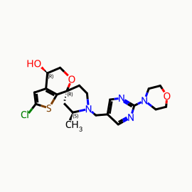 C[C@H]1C[C@@]2(CCN1Cc1cnc(N3CCOCC3)nc1)OC[C@H](O)c1cc(Cl)sc12